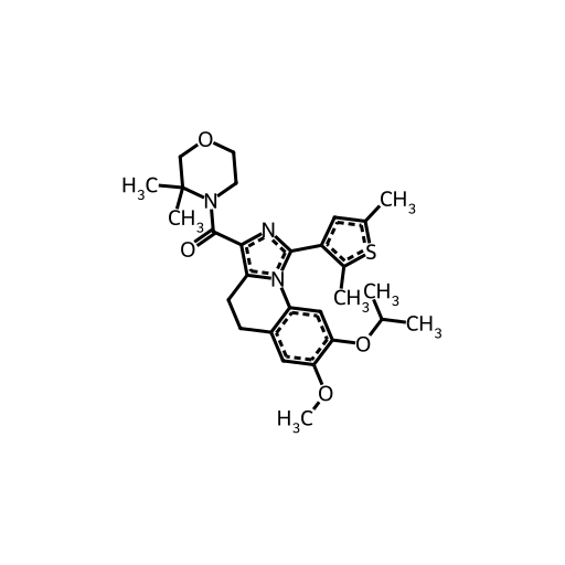 COc1cc2c(cc1OC(C)C)-n1c(-c3cc(C)sc3C)nc(C(=O)N3CCOCC3(C)C)c1CC2